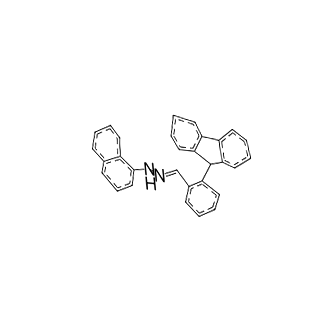 C(=NNc1cccc2ccccc12)c1ccccc1C1c2ccccc2-c2ccccc21